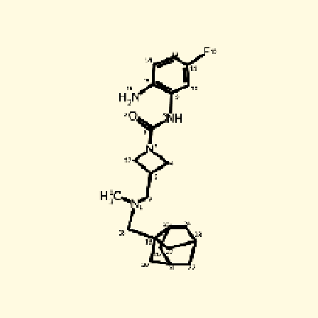 CN(CC1CN(C(=O)Nc2cc(F)ccc2N)C1)CC12CC3CC(CC1C3)C2